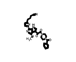 COc1cnc(-n2ccc(CCCC#N)n2)c2[nH]cc(C(=O)C(=O)N3CCN(C(=O)c4ccccc4)CC3)c12